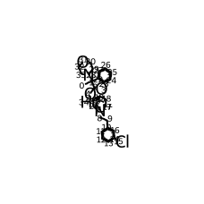 CC(C(=O)O[C@H]1C[N+]2(CCc3cccc(Cl)c3)CCC1CC2)(c1ccccc1)N1CCOCC1